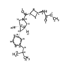 COC(=O)N[C@H]1C[C@@H](C(=O)N2C[C@@H]3[C@H](C2)[C@H]3c2cccc(CC(C)C)c2)C1